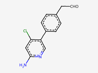 Nc1cc(Cl)c(-c2ccc(CC=O)cc2)cn1